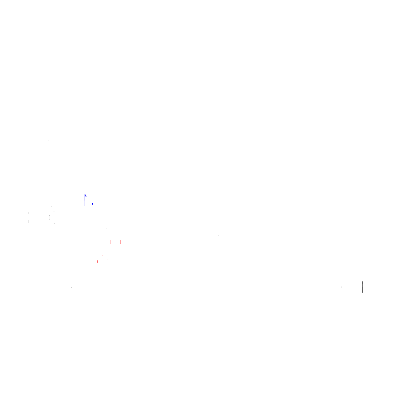 CCCCCCC1(c2ccccc2OC)Cc2ccccc2N(C)C1=O